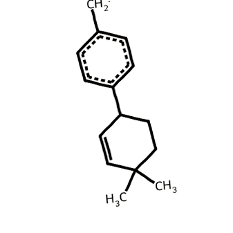 [CH2]c1ccc(C2C=CC(C)(C)CC2)cc1